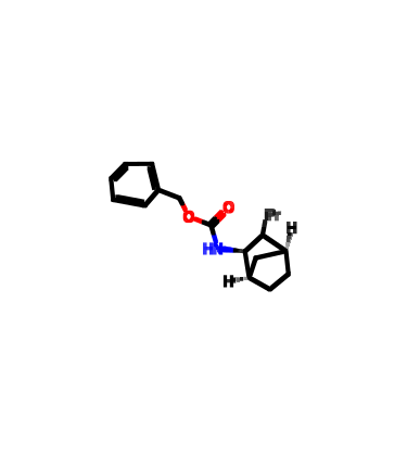 CC(C)C1[C@H]2CC[C@H](C2)[C@H]1NC(=O)OCc1ccccc1